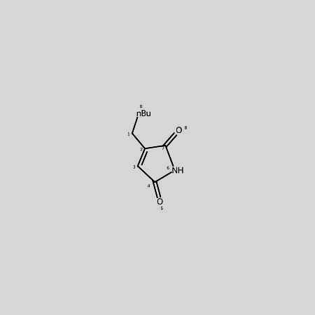 CCCCCC1=CC(=O)NC1=O